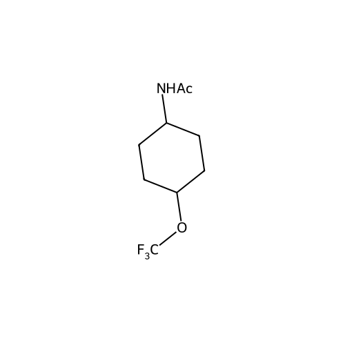 CC(=O)NC1CCC(OC(F)(F)F)CC1